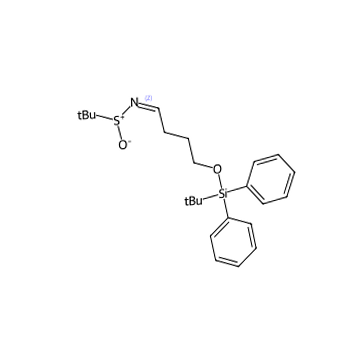 CC(C)(C)[S+]([O-])/N=C\CCCO[Si](c1ccccc1)(c1ccccc1)C(C)(C)C